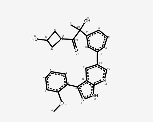 COc1ccccc1-c1n[nH]c2ncc(-c3cccc(C(C)(O)C(=O)N4CC(O)C4)c3)cc12